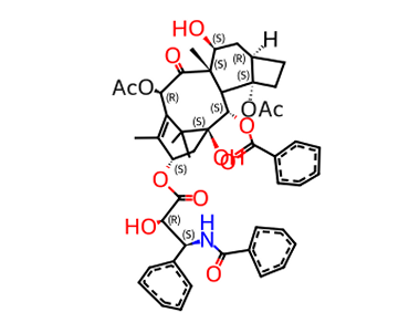 CC(=O)O[C@H]1C(=O)[C@@]2(C)C([C@H](OC(=O)c3ccccc3)[C@]3(O)C[C@H](OC(=O)[C@H](O)[C@@H](NC(=O)c4ccccc4)c4ccccc4)C(C)=C1C3(C)C)[C@]1(OC(C)=O)CC[C@@H]1C[C@@H]2O